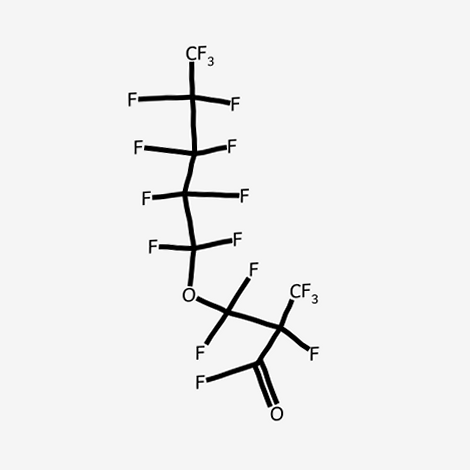 O=C(F)C(F)(C(F)(F)F)C(F)(F)OC(F)(F)C(F)(F)C(F)(F)C(F)(F)C(F)(F)F